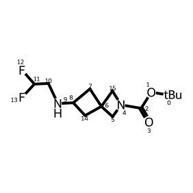 CC(C)(C)OC(=O)N1CC2(CC(NCC(F)F)C2)C1